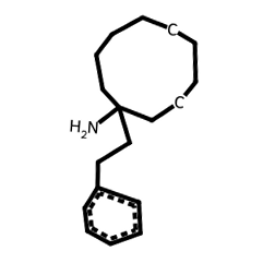 NC1(CCc2ccccc2)CCCCCCCCC1